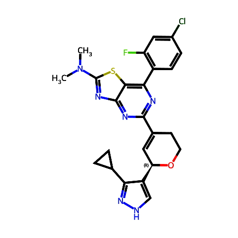 CN(C)c1nc2nc(C3=C[C@H](c4c[nH]nc4C4CC4)OCC3)nc(-c3ccc(Cl)cc3F)c2s1